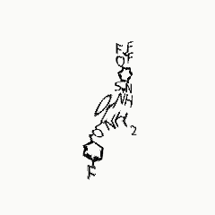 N[C@@H](COCc1ccc(F)cc1)C(=O)Nc1nc2ccc(OC(F)(F)F)cc2s1